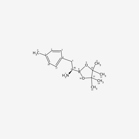 Cc1ccc(C[C@H](N)B2OC(C)(C)C(C)(C)O2)cc1